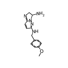 COc1ccc(CNC2=NN3C(=NCC3N)C=C2)cc1